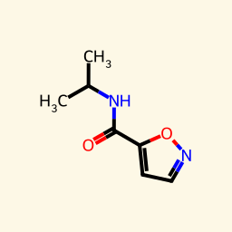 CC(C)NC(=O)c1ccno1